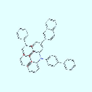 c1ccc(-c2ccc(-c3ccccc3N(c3ccc(-c4ccccc4)cc3)c3cc(-c4ccc5ccccc5c4)ccc3-c3ccccc3)cc2)cc1